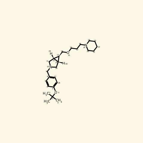 CC(C)(C)Oc1ccc(CN2C[C@@H]3[C@@H](COCCCN4CCCCC4)[C@@H]3C2)cc1